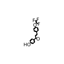 O=C(C=Cc1ccc(OC(F)=C(F)F)cc1)c1ccc(O)cc1